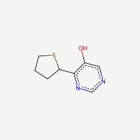 Oc1cn[c]nc1C1CCCS1